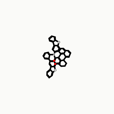 c1ccc(N(c2ccc3oc4ccccc4c3c2)c2ccccc2-c2cccc3cccc(C4CCCCC4)c23)c(-c2ccc3oc4ccccc4c3c2)c1